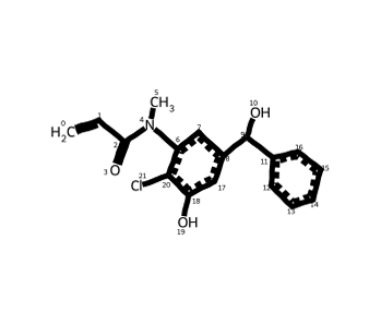 C=CC(=O)N(C)c1cc(C(O)c2ccccc2)cc(O)c1Cl